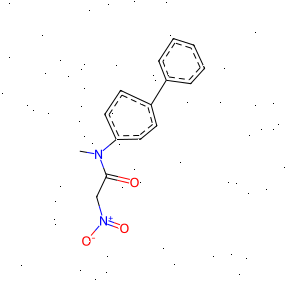 CN(C(=O)C[N+](=O)[O-])c1ccc(-c2ccccc2)cc1